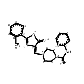 N=C(Nc1ccccn1)N1CCN(C=C2N=C(c3ccccc3C(F)(F)F)OC2=O)CC1